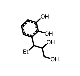 CCC(c1cccc(O)c1O)C(O)CO